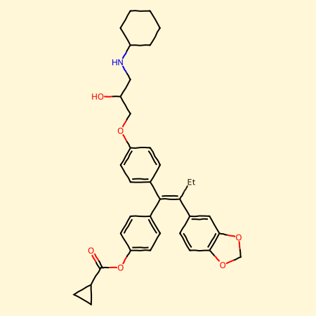 CCC(=C(c1ccc(OCC(O)CNC2CCCCC2)cc1)c1ccc(OC(=O)C2CC2)cc1)c1ccc2c(c1)OCO2